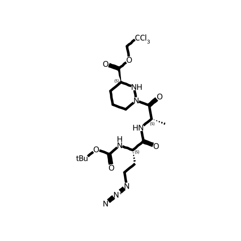 C[C@H](NC(=O)[C@H](CCN=[N+]=[N-])NC(=O)OC(C)(C)C)C(=O)N1CCC[C@@H](C(=O)OCC(Cl)(Cl)Cl)N1